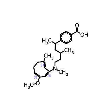 COC1=C/CC/C(C)=C/C(N(C)CCC(C)CC(C)c2ccc(C(=O)O)cc2)=C\1